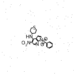 O=[N+]([O-])c1cnc2c(ccn2S(=O)(=O)c2ccccc2)c1NC1CCSCC1